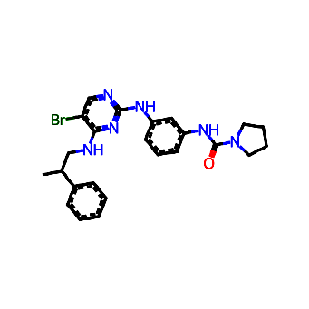 CC(CNc1nc(Nc2cccc(NC(=O)N3CCCC3)c2)ncc1Br)c1ccccc1